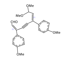 COc1ccc(/C(C#C/C(=C\C(OC)OC)c2ccc(OC)cc2)=C/C=O)cc1